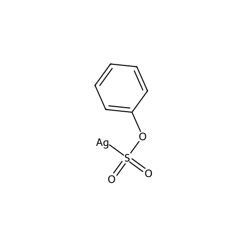 O=[S](=O)([Ag])Oc1ccccc1